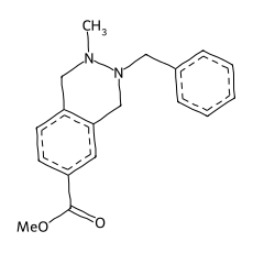 COC(=O)c1ccc2c(c1)CN(Cc1ccccc1)N(C)C2